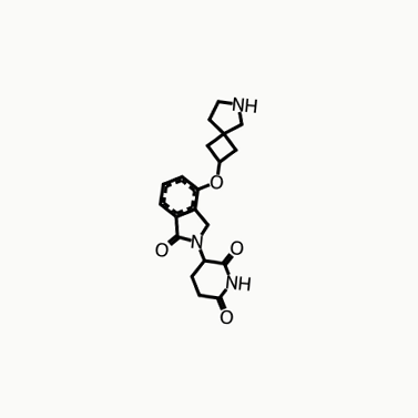 O=C1CCC(N2Cc3c(OC4CC5(CCNC5)C4)cccc3C2=O)C(=O)N1